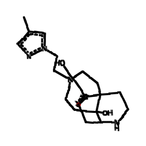 Cc1cnn(CCN2CCC34CCNC(Cc5ccc(O)cc53)C4(O)CC2)c1